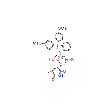 COc1ccc(C(OC[C@@]2(CO)CN(C(C)C)C[C@H](n3cc(C)c(=O)[nH]c3=O)O2)(c2ccccc2)c2ccc(OC)cc2)cc1